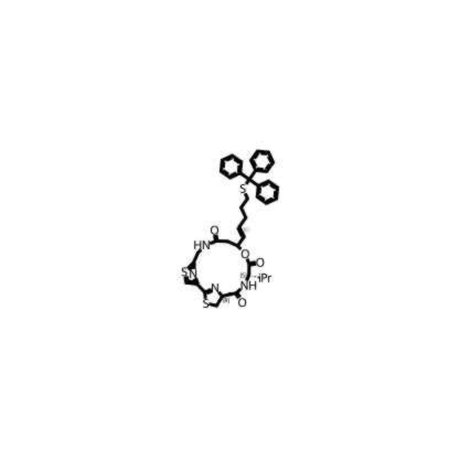 CC(C)[C@@H]1NC(=O)[C@]2(C)CSC(=N2)c2csc(n2)CNC(=O)CC(/C=C/CCCSC(c2ccccc2)(c2ccccc2)c2ccccc2)OC1=O